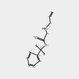 C=CCNCC(=O)OC(C)(C)c1ccccc1